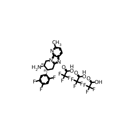 Cc1ccc2nc3n(c2n1)C[C@H](N)[C@@H](c1cc(F)c(F)cc1F)C3.O=C(O)C(F)(F)F.O=C(O)C(F)(F)F.O=C(O)C(F)(F)F